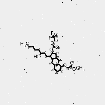 CCCCCC(O)CCC1C(OC(=O)OCC(F)(F)F)CC2Cc3c(cccc3OCC(=O)OC)CC21